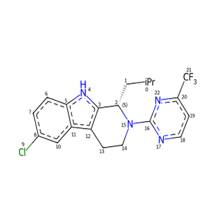 CC(C)C[C@H]1c2[nH]c3ccc(Cl)cc3c2CCN1c1nccc(C(F)(F)F)n1